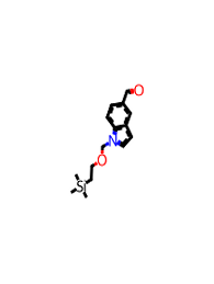 C[Si](C)(C)CCOCn1ccc2cc(C=O)ccc21